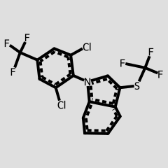 FC(F)(F)Sc1cn(-c2c(Cl)cc(C(F)(F)F)cc2Cl)c2ccccc12